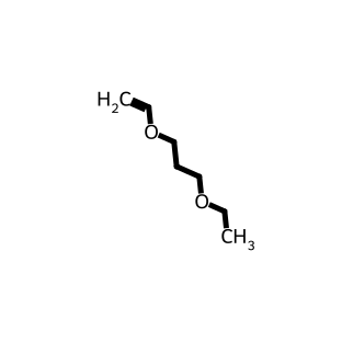 C=COCCCOCC